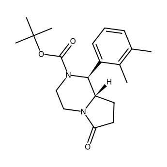 Cc1cccc([C@H]2[C@@H]3CCC(=O)N3CCN2C(=O)OC(C)(C)C)c1C